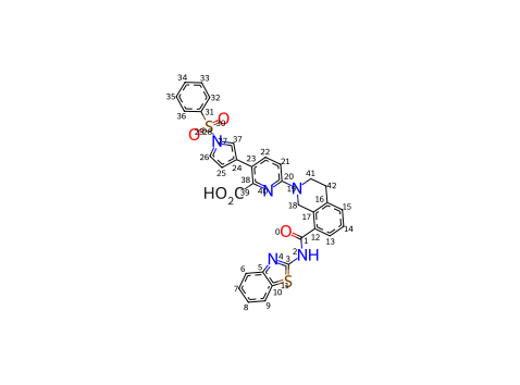 O=C(Nc1nc2ccccc2s1)c1cccc2c1CN(c1ccc(-c3ccn(S(=O)(=O)c4ccccc4)c3)c(C(=O)O)n1)CC2